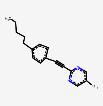 CCCCCc1ccc(C#Cc2ncc(C)cn2)cc1